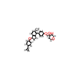 OC1(COc2ccc(-c3c(C(F)(F)F)ccc4c3CCC4Oc3ccc(C4CC4)cc3)cc2)CCOCC1